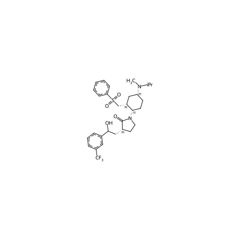 CC(C)N(C)[C@@H]1CC[C@H](N2CC[C@H](CC(O)c3cccc(C(F)(F)F)c3)C2=O)[C@H](CS(=O)(=O)c2ccccc2)C1